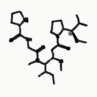 CCC(C)C(C(CC(=O)N1CCCC1[C@H](OC)C(C)C)OC)N(C)C(=O)CNC(=O)C1CCCN1